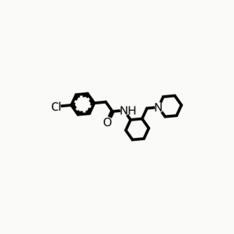 O=C(Cc1ccc(Cl)cc1)NC1CCCCC1CN1CCCCC1